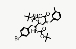 Cc1cccc(C[C@H](C[C@H](O[Si](C)(C)C(C)(C)C)[C@H](Cc2ccc(Br)cc2)NC(=O)OC(C)(C)C)C(=O)O)c1